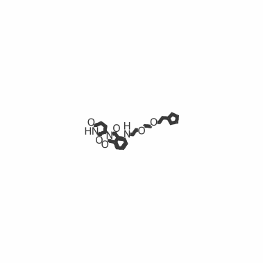 O=C1CCC(N2C(=O)c3cccc(NCCOCCOCCC4CCCC4)c3C2=O)C(=O)N1